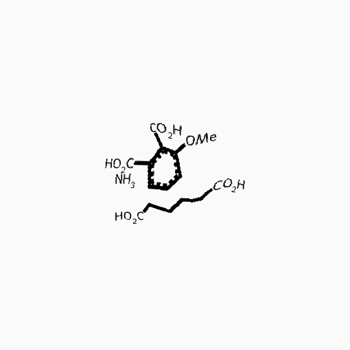 COc1cccc(C(=O)O)c1C(=O)O.N.O=C(O)CCCCC(=O)O